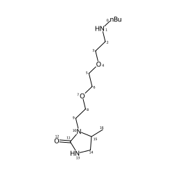 CCCCNCCOCCOCCN1C(=O)NCC1C